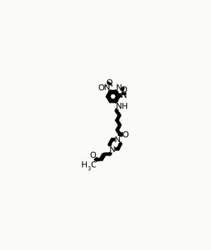 CC(=O)/C=C/CN1CCN(C(=O)CCCCCNc2ccc([N+](=O)[O-])c3nonc23)CC1